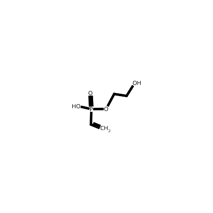 C=CP(=O)(O)OCCO